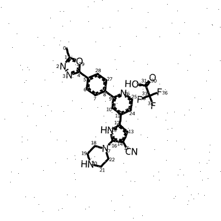 Cc1nnc(-c2ccc(-c3cc(-c4cc(C#N)c(N5CCNCC5)[nH]4)ccn3)cc2)o1.O=C(O)C(F)(F)F